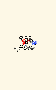 COCC(COC)N(c1ccc(Oc2ccc(Cn3nccn3)cc2C(F)(F)F)c(C)c1C(=O)OCc1ccccc1)C(=O)[C@H]1CC[C@H](C)CC1